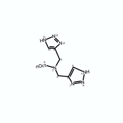 CCCCCCCCN(Cc1c[nH]nn1)Cc1c[nH]nn1